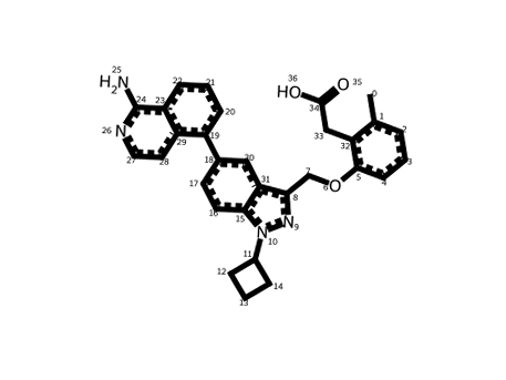 Cc1cccc(OCc2nn(C3CCC3)c3ccc(-c4cccc5c(N)nccc45)cc23)c1CC(=O)O